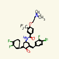 CN(C)CCOc1ccc(C(=O)NC2CC(=Cc3ccc(F)c(F)c3)C(=O)C(=Cc3ccc(F)c(F)c3)C2)cc1C(F)(F)F